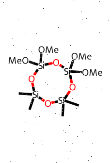 CO[Si]1(OC)O[Si](C)(C)O[Si](C)(C)O[Si](OC)(OC)O1